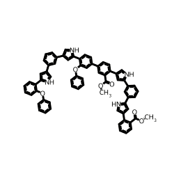 COC(=O)c1ccccc1-c1c[nH]c(-c2cccc(-c3cc(-c4ccc(-c5ccc(-c6cc(-c7cccc(-c8c[nH]c(-c9ccccc9Oc9ccccc9)c8)c7)c[nH]6)c(Oc6ccccc6)c5)cc4C(=O)OC)c[nH]3)c2)c1